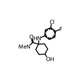 CNC(=O)C1(Nc2ccc(F)c(Cl)c2)CCC(O)CC1